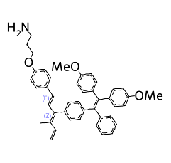 C=C/C(C)=C(/C=C/c1ccc(OCCCN)cc1)c1ccc(C(=C(c2ccc(OC)cc2)c2ccc(OC)cc2)c2ccccc2)cc1